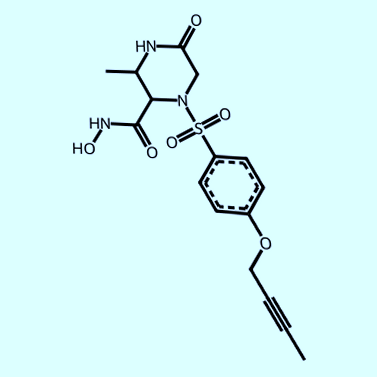 CC#CCOc1ccc(S(=O)(=O)N2CC(=O)NC(C)C2C(=O)NO)cc1